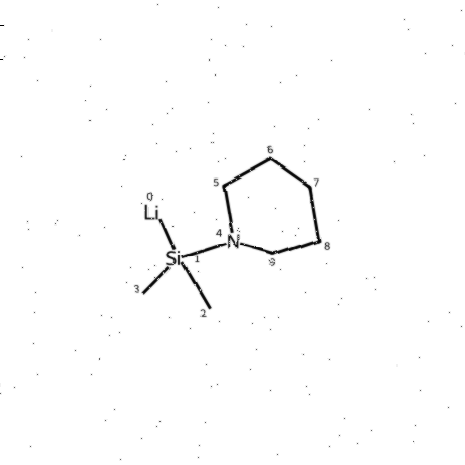 [Li][Si](C)(C)N1CCCCC1